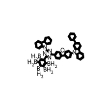 Bc1c(B)c(B)c(-c2nc(-c3ccc4c(c3)oc3cc(-n5c6ccccc6c6ccc(-c7ccccc7)cc65)ccc34)nc(-n3c4ccccc4c4ccccc43)n2)c(B)c1B